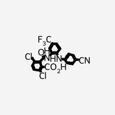 N#Cc1ccc(Nc2ccc(C(F)(F)F)cc2NC(=O)c2c(Cl)ccc(Cl)c2C(=O)O)cc1